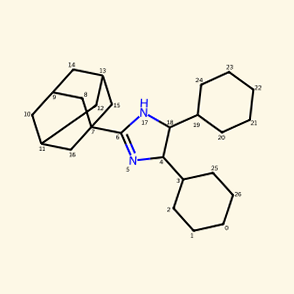 C1CCC(C2N=C(C34CC5CC(CC(C5)C3)C4)NC2C2CCCCC2)CC1